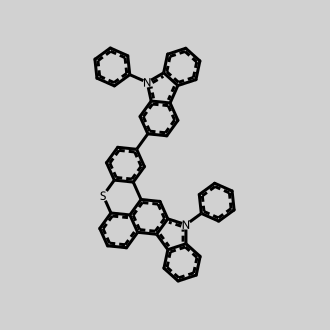 c1ccc(-n2c3ccccc3c3ccc(-c4ccc5c(c4)-c4cc6c(c7cccc(c47)S5)c4ccccc4n6-c4ccccc4)cc32)cc1